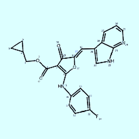 O=C(OCC1CC1)C1=C(Nc2ccc(F)cc2)O/C(=C\c2c[nH]c3ncccc23)C1=O